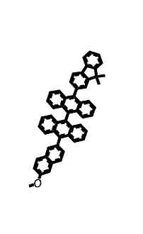 COc1ccc2cc(-c3c4ccccc4c(-c4c5ccccc5c(-c5ccc6c(c5)C(C)(C)c5ccccc5-6)c5ccccc45)c4ccccc34)ccc2c1